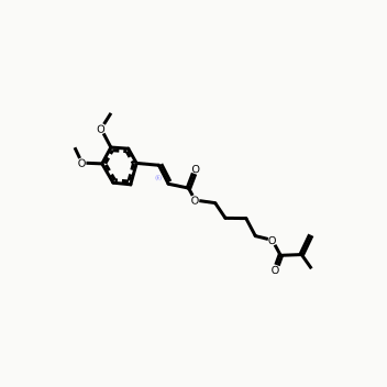 C=C(C)C(=O)OCCCCOC(=O)/C=C/c1ccc(OC)c(OC)c1